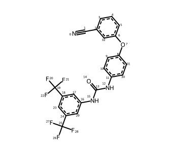 N#Cc1cccc(Oc2ccc(NC(=O)Nc3cc(C(F)(F)F)cc(C(F)(F)F)c3)cc2)c1